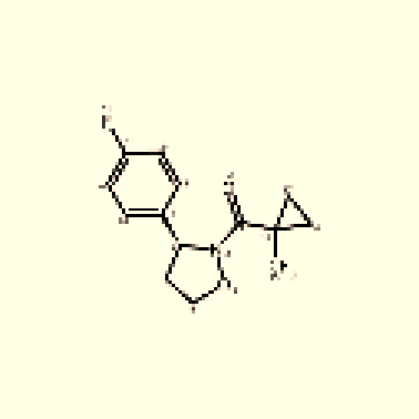 O=C(N1OCC[C@H]1c1ccc(F)cc1)C1(C(F)(F)F)CC1